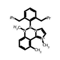 Cc1cccc2c1-c1n(cc[n+]1C)B(c1c(CC(C)C)cccc1CC(C)C)N2C